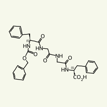 O=C(CNC(=O)[C@H](Cc1ccccc1)NC(=O)OCc1ccccc1)NCC(=O)N[C@@H](Cc1ccccc1)C(=O)O